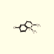 CN1CCc2cc(Cl)ccc2N1C